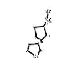 C1CCOC1.[Br][Mg][CH]1CCCC1